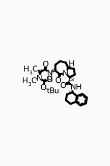 C[C@@H](C(=O)N[C@H]1CCC[C@H]2CC[C@@H](C(=O)N[C@H]3CCCc4ccccc43)N2C1=O)N(C)C(=O)OC(C)(C)C